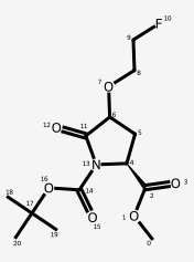 COC(=O)[C@@H]1CC(OCCF)C(=O)N1C(=O)OC(C)(C)C